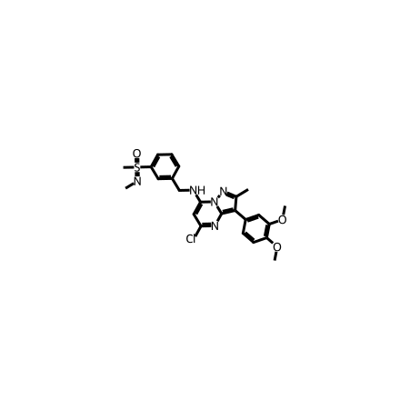 CN=S(C)(=O)c1cccc(CNc2cc(Cl)nc3c(-c4ccc(OC)c(OC)c4)c(C)nn23)c1